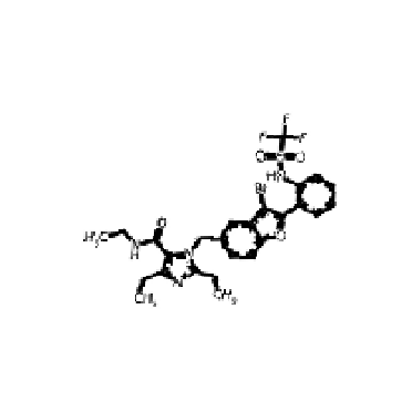 CCNC(=O)c1c(CC)nc(CC)n1Cc1ccc2oc(-c3ccccc3NS(=O)(=O)C(F)(F)F)c(Br)c2c1